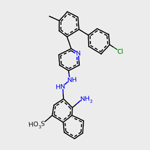 Cc1ccc(-c2ccc(Cl)cc2)c(-c2ccc(NNc3cc(S(=O)(=O)O)c4ccccc4c3N)cn2)c1